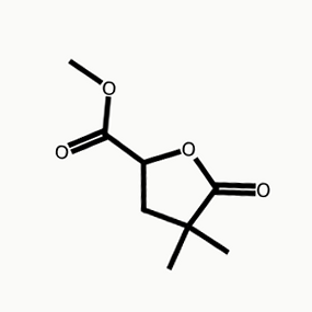 COC(=O)C1CC(C)(C)C(=O)O1